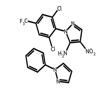 Nc1c([N+](=O)[O-])cnn1-c1c(Cl)cc(C(F)(F)F)cc1Cl.c1ccc(-n2cccn2)cc1